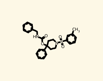 Cc1cccc(S(=O)(=O)N2CCC(OC(=O)NCc3ccccc3)(c3ccccc3)CC2)c1